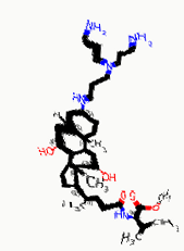 COC(=O)[C@H](NC(=O)CC[C@@H](C)[C@H]1CCC2C3C(C[C@H](O)[C@@]21C)[C@@]1(C)CC[C@H](NCCCN(CCCN)CCCN)C[C@H]1C[C@H]3O)C(C)C